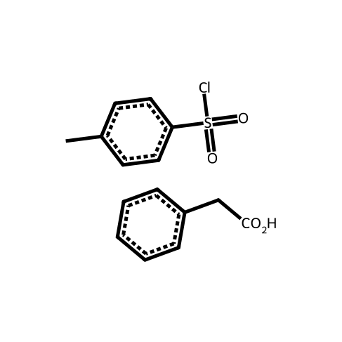 Cc1ccc(S(=O)(=O)Cl)cc1.O=C(O)Cc1ccccc1